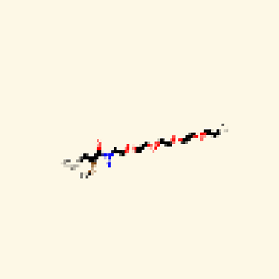 CC(=O)CCOCCOCCOCCOCCNC(=O)C(CC(=O)O)SC(C)C